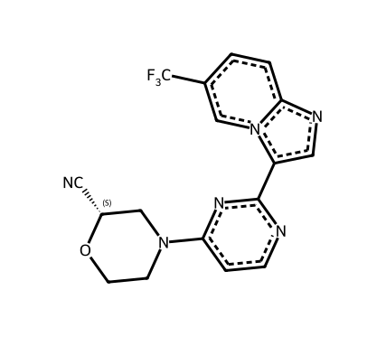 N#C[C@@H]1CN(c2ccnc(-c3cnc4ccc(C(F)(F)F)cn34)n2)CCO1